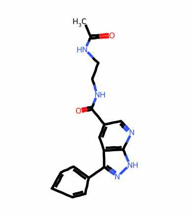 CC(=O)NCCNC(=O)c1cnc2[nH]nc(-c3ccccc3)c2c1